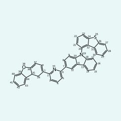 C1=C(c2cccc(-c3ccc4c(c3)c3ccccc3n4-c3cccc4sc5ccccc5c34)n2)CC2C(=C1)Oc1ccccc12